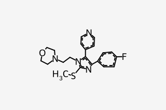 CSc1nc(-c2ccc(F)cc2)c(-c2ccncc2)n1CCN1CCOCC1